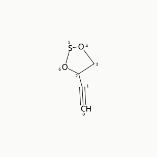 C#CC1COSO1